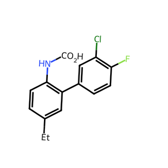 CCc1ccc(NC(=O)O)c(-c2ccc(F)c(Cl)c2)c1